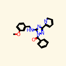 COc1cccc(CNc2nc(-c3ccccn3)nn2C(=O)c2ccccc2)c1